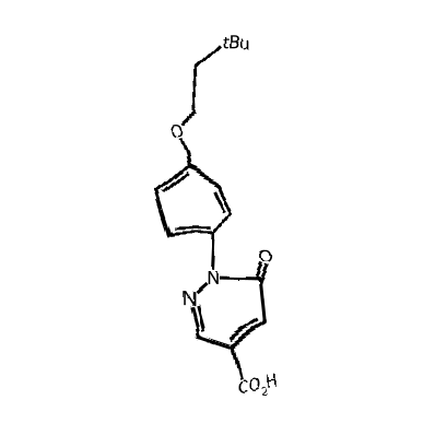 CC(C)(C)CCOc1ccc(-n2ncc(C(=O)O)cc2=O)cc1